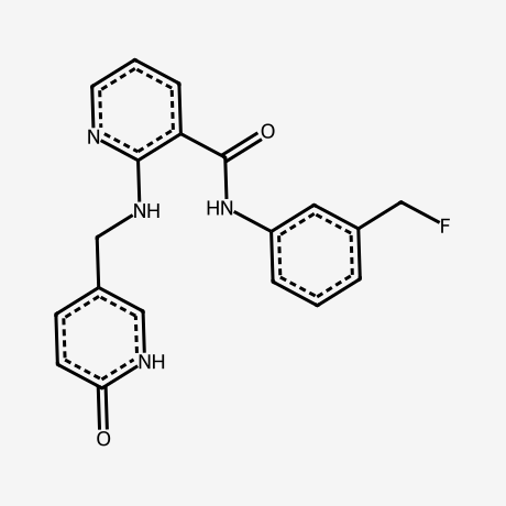 O=C(Nc1cccc(CF)c1)c1cccnc1NCc1ccc(=O)[nH]c1